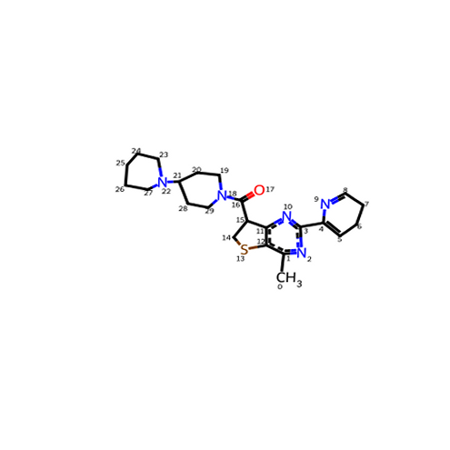 Cc1nc(C2=CCCC=N2)nc2c1SCC2C(=O)N1CCC(N2CCCCC2)CC1